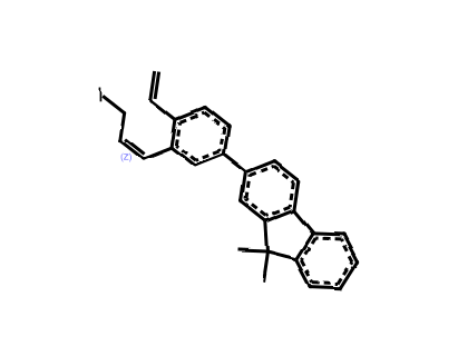 C=Cc1ccc(-c2ccc3c(c2)C(C)(C)c2ccccc2-3)cc1/C=C\CI